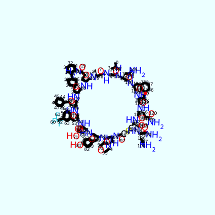 CC(C)C[C@H]1NC(=O)[C@H](C)N(C)C(=O)C(CCC(N)=O)NC(=O)C(Cc2ccc(-c3ccccc3)cc2)NC(=O)[C@H](CCc2ccccc2)NC(=O)[C@H](Cc2cccc(C(F)(F)F)c2)NC(=O)[C@H](CC(=O)O)NC(=O)[C@H](Cc2ccc(O)cc2)NC(=O)C(CN2CCOCC2)NC(=O)CSC[C@@H](C(=O)N[C@@H](CCN)C(N)=O)NC(=O)[C@H](CCC(N)=O)NC(=O)C(C(C)C)NC(=O)C(CC2CCCCC2)NC(=O)[C@H](CCN)NC1=O